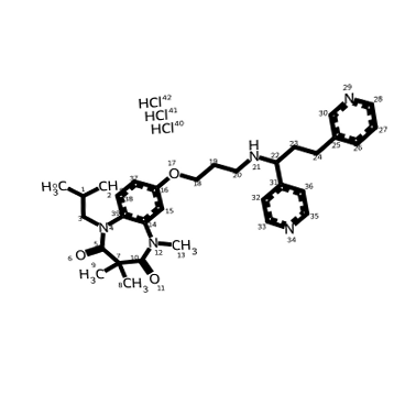 CC(C)CN1C(=O)C(C)(C)C(=O)N(C)c2cc(OCCCNC(CCc3cccnc3)c3ccncc3)ccc21.Cl.Cl.Cl